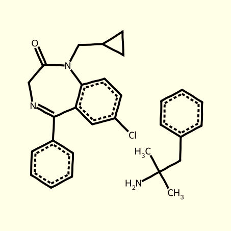 CC(C)(N)Cc1ccccc1.O=C1CN=C(c2ccccc2)c2cc(Cl)ccc2N1CC1CC1